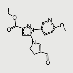 CCOC(=O)c1cc(N2C=C(C=O)CC2)n(-c2ccc(OC)nc2)n1